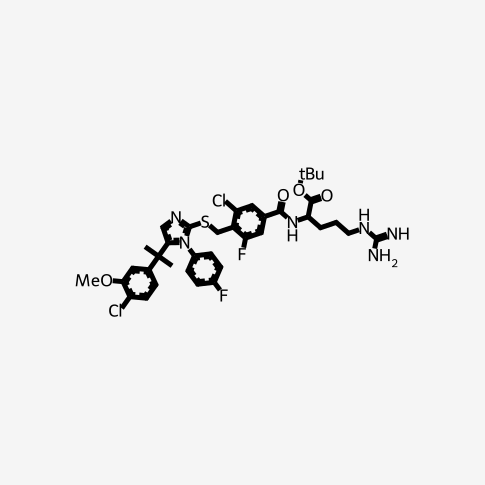 COc1cc(C(C)(C)c2cnc(SCc3c(F)cc(C(=O)NC(CCCNC(=N)N)C(=O)OC(C)(C)C)cc3Cl)n2-c2ccc(F)cc2)ccc1Cl